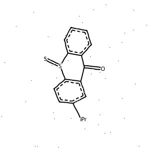 CC(C)c1ccc2c(c1)C(=O)c1ccccc1S2=S